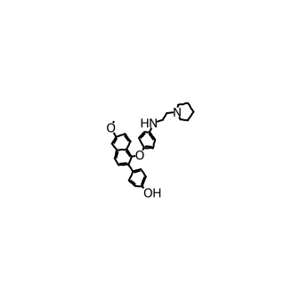 COc1ccc2c(Oc3ccc(NCCN4CCCCC4)cc3)c(-c3ccc(O)cc3)ccc2c1